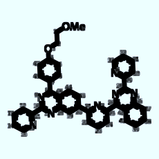 COCCOc1ccc(-c2nc(-c3ccccn3)nc3cc(-c4cccc(-c5nc(-c6ccccn6)nc6ccccc56)n4)ccc23)cc1